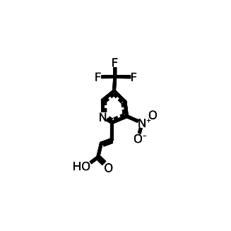 O=C(O)C=Cc1ncc(C(F)(F)F)cc1[N+](=O)[O-]